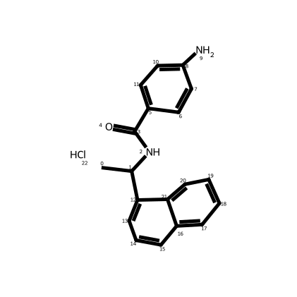 CC(NC(=O)c1ccc(N)cc1)c1cccc2ccccc12.Cl